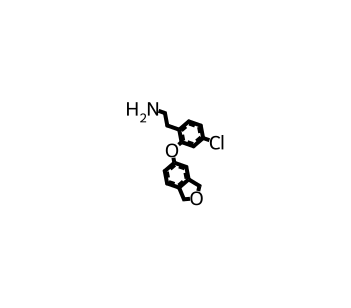 NCCc1ccc(Cl)cc1Oc1ccc2c(c1)COC2